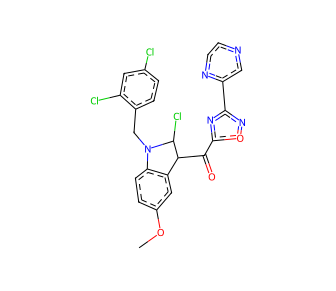 COc1ccc2c(c1)C(C(=O)c1nc(-c3cnccn3)no1)C(Cl)N2Cc1ccc(Cl)cc1Cl